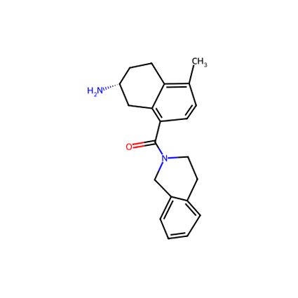 Cc1ccc(C(=O)N2CCc3ccccc3C2)c2c1CC[C@@H](N)C2